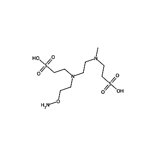 CN(CCN(CCON)CCS(=O)(=O)O)CCS(=O)(=O)O